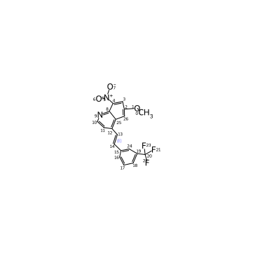 COc1cc([N+](=O)[O-])c2nccc(/C=C/c3cccc(C(F)(F)F)c3)c2c1